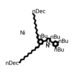 CCCCCCCCCCCCCCCCCCCC=Cc1cc(C=CCCCCCCCCCCCCCCCCCCC)cc(C2=C(CCCC)C(CCCC)=C(c3cc(CCCC)cc(CCCC)c3)[N+]2=[N-])c1.[Ni]